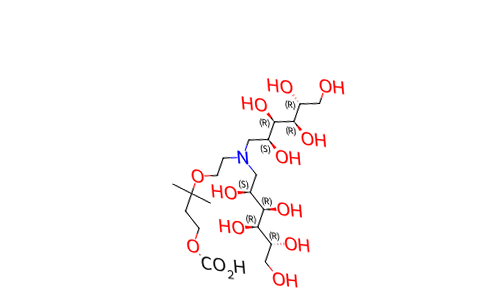 CC(C)(CCOC(=O)O)OCCN(C[C@H](O)[C@@H](O)[C@H](O)[C@H](O)CO)C[C@H](O)[C@@H](O)[C@H](O)[C@H](O)CO